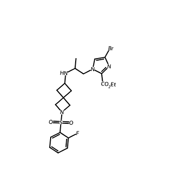 CCOC(=O)c1nc(Br)cn1CC(C)NC1CC2(C1)CN(S(=O)(=O)c1ccccc1F)C2